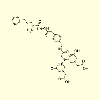 N[C@H](CSCc1ccccc1)C(=O)NNC(=O)Cc1ccc(CNC(=O)CN(CCN(CC(=O)O)CC(=O)O)CCN(CC(=O)O)CC(=O)O)cc1